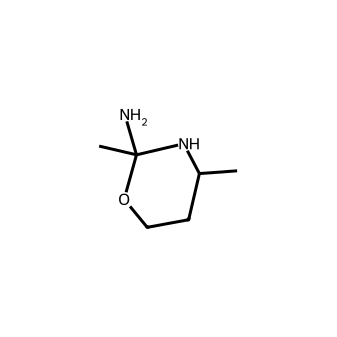 CC1CCOC(C)(N)N1